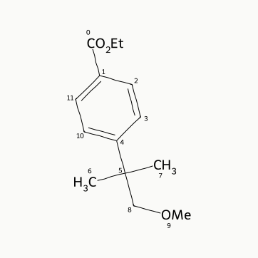 CCOC(=O)c1ccc(C(C)(C)COC)cc1